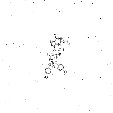 COc1ccc(OP(=O)(OC[C@@]2(C(F)F)O[C@@H](n3cnc4c(=O)[nH]c(N)nc43)C(O)C2(F)F)Oc2ccc(OC)cc2)cc1